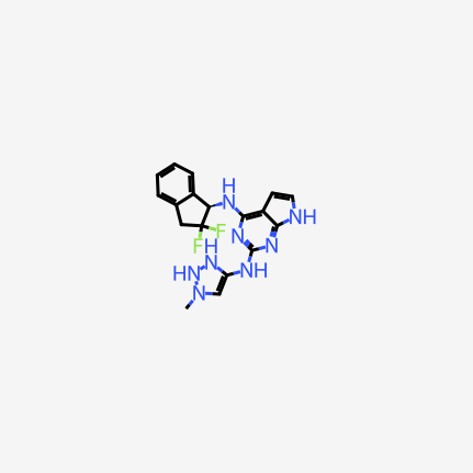 CN1C=C(Nc2nc(N[C@@H]3c4ccccc4CC3(F)F)c3cc[nH]c3n2)NN1